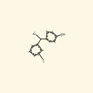 CC(=O)C(c1ccc(O)cc1)c1cccc(F)c1